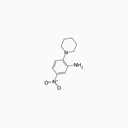 Nc1cc([N+](=O)[O-])ccc1N1CCCCC1